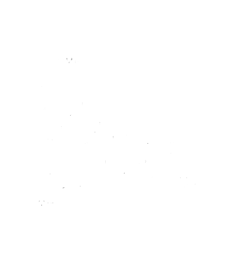 COc1ccc(-c2sc3cc(OC)ccc3c2Oc2ccc(/C=C(\C)C(=O)O)cc2)cc1